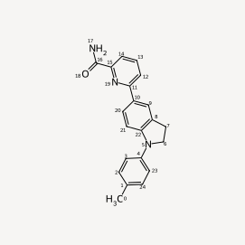 Cc1ccc(N2CCc3cc(-c4cccc(C(N)=O)n4)ccc32)cc1